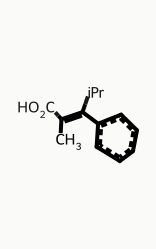 CC(C(=O)O)=C(c1ccccc1)C(C)C